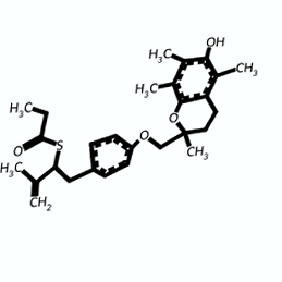 C=C(C)C(Cc1ccc(OCC2(C)CCc3c(C)c(O)c(C)c(C)c3O2)cc1)SC(=O)CC